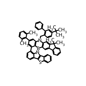 Cc1cccc(C)c1-c1cc2c3c(c1)N(Cc1ccc(C(C)(C)C)cc1-c1ccccc1)c1cc4c(cc1B3n1c3c-2cccc3c2sc3ccccc3c21)-c1ccccc1C4(C)C